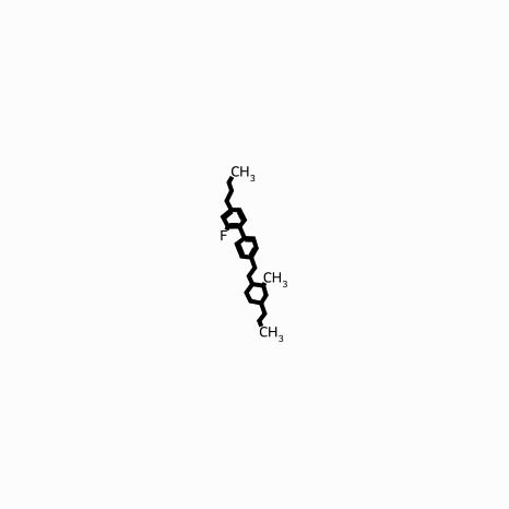 CCCCc1ccc(-c2ccc(CCC3CCC(CCC)CC3C)cc2)c(F)c1